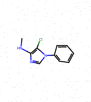 CNc1ncn(-c2ccccc2)c1Cl